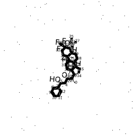 C[C@H](C(=O)CC(O)c1ccccc1)[C@H]1CC[C@H]2[C@@H]3CC[C@H]4C[C@](O[Si](C)(C)C)(C(F)(F)F)CC[C@]4(C)[C@H]3CC[C@]12C